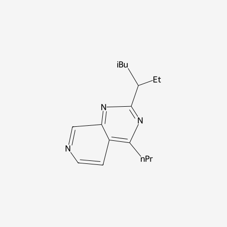 CCCc1nc(C(CC)C(C)CC)nc2cnccc12